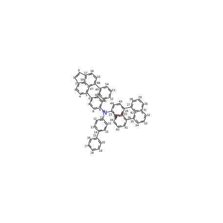 C1=Cc2ccc(-c3ccc(N(c4ccc(-c5ccccc5)cc4)c4ccc(-c5cccc6cccc(-c7ccccc7)c56)cc4)cc3)c3c(-c4ccccc4)ccc1c23